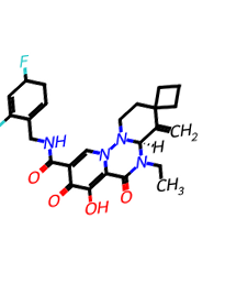 C=C1[C@H]2N(CC)C(=O)c3c(O)c(=O)c(C(=O)NCC4=CCC(F)C=C4F)cn3N2CCC12CCC2